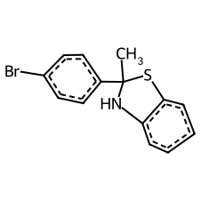 CC1(c2ccc(Br)cc2)Nc2ccccc2S1